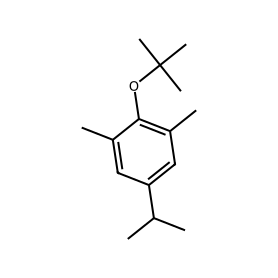 Cc1cc(C(C)C)cc(C)c1OC(C)(C)C